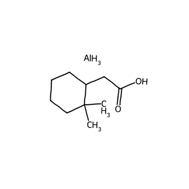 CC1(C)CCCCC1CC(=O)O.[AlH3]